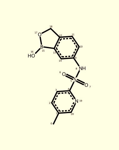 Cc1ccc(S(=O)(=O)Nc2ccc3c(c2)B(O)OC3)nc1